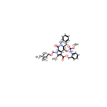 Cc1c(C(=O)OCc2ccccc2NC(=O)OC(C)(C)C)c2c(Br)c(Cc3ccccc3)n(C)c(=O)c2n1COCC[Si](C)(C)C